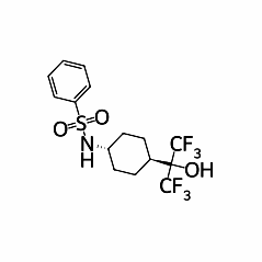 O=S(=O)(N[C@H]1CC[C@H](C(O)(C(F)(F)F)C(F)(F)F)CC1)c1ccccc1